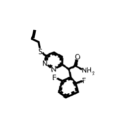 C=CCSc1ccc(C(C(N)=O)c2c(F)cccc2F)nn1